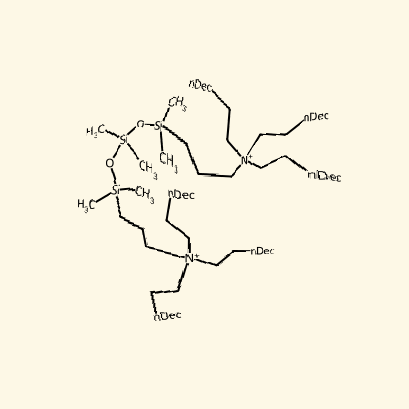 CCCCCCCCCCCC[N+](CCCCCCCCCCCC)(CCCCCCCCCCCC)CCC[Si](C)(C)O[Si](C)(C)O[Si](C)(C)CCC[N+](CCCCCCCCCCCC)(CCCCCCCCCCCC)CCCCCCCCCCCC